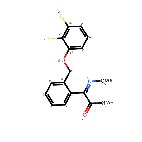 CNC(=O)C(=NOC)c1ccccc1COc1cccc(F)c1F